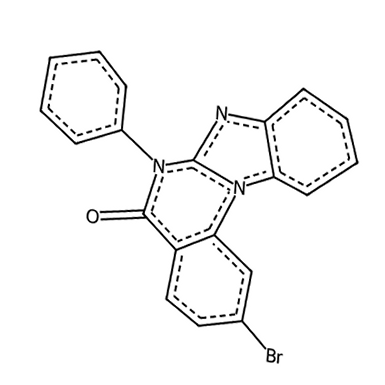 O=c1c2ccc(Br)cc2n2c3ccccc3nc2n1-c1ccccc1